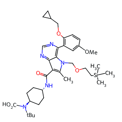 COc1ccc(OCC2CC2)c(-c2ncnc3c(C(=O)N[C@H]4CC[C@H](N(C(=O)O)C(C)(C)C)CC4)c(C)n(COCC[Si](C)(C)C)c23)c1